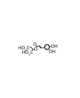 O=C(O)CC(OC(=O)C=Cc1ccc(O)c(O)c1)C(=O)O